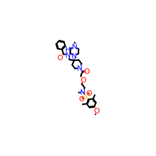 COc1cc(C)c(S(=O)(=O)N(C)CCOCC(=O)N2CCC(CNC(=O)c3ccccc3)(N3CCN(C)CC3)CC2)c(C)c1